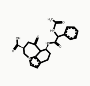 CC(=O)NC(C(=O)N[C@H]1CCc2ccn3c2C1C(=O)C[C@H](C(=O)O)C3)c1ccccc1